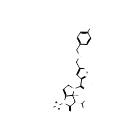 CC(C)[C@H]1C(=O)N(S(C)(=O)=O)C2=CCN(C(=O)c3cc(CNCc4ccc(F)cc4)on3)[C@@H]21.Cl